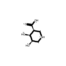 O=C(O)[C@H]1CNC[C@@H](O)[C@H]1O